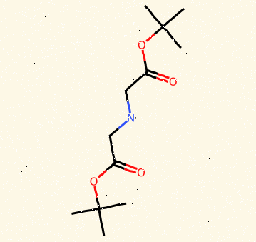 CC(C)(C)OC(=O)C[N]CC(=O)OC(C)(C)C